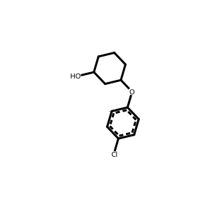 OC1CCCC(Oc2[c]cc(Cl)cc2)C1